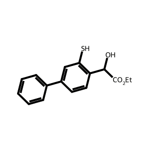 CCOC(=O)C(O)c1ccc(-c2ccccc2)cc1S